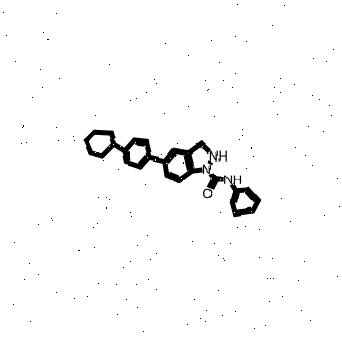 O=C(Nc1ccccc1)N1NCc2cc(-c3ccc(C4CCCCC4)cc3)ccc21